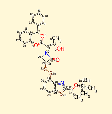 CC(O)=C(C(=O)OC(c1ccccc1)c1ccccc1)N1C[C@H](SSc2cccc3sc([C@@H](C)O[Si](C)(C)C(C)(C)C)nc23)C1=O